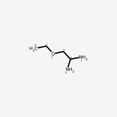 CCOCC(N)N